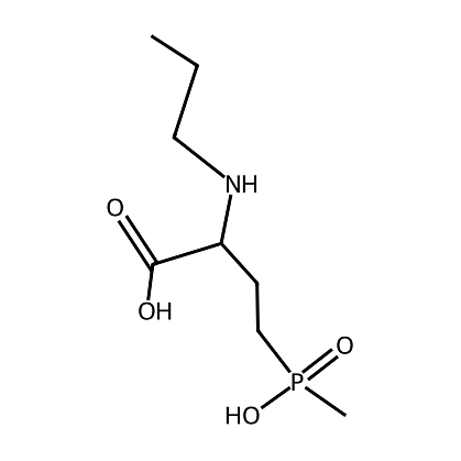 CCCNC(CCP(C)(=O)O)C(=O)O